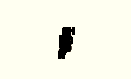 CN1CCN(S(=O)(=O)N2CCCCN3[C@H](C[C@H]3O)C2)CC1